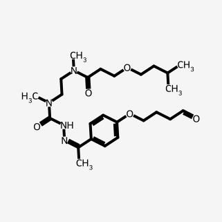 C/C(=N/NC(=O)N(C)CCN(C)C(=O)CCOCCC(C)C)c1ccc(OCCCC=O)cc1